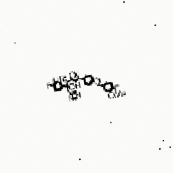 COc1cc(COc2ccc(-c3cc([C@H](C)[C@](O)(Cn4cncn4)c4ccc(F)cc4F)on3)cc2)ccc1F